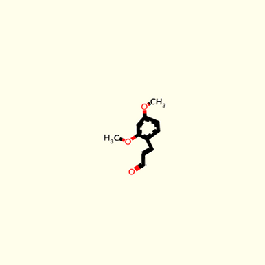 COc1ccc(C=C[C]=O)c(OC)c1